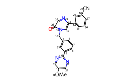 COc1cnc(-c2cccc(Cn3cc(-c4cccc(C#N)c4)ncc3=O)c2)nc1